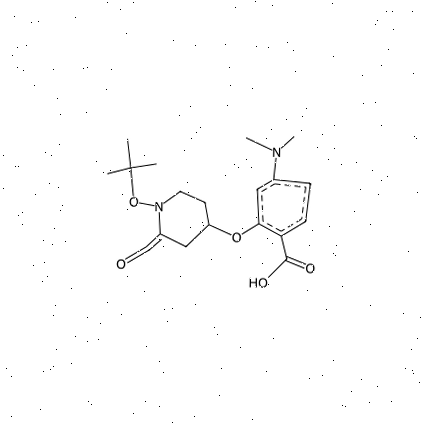 CN(C)c1ccc(C(=O)O)c(OC2CCN(OC(C)(C)C)C(=C=O)C2)c1